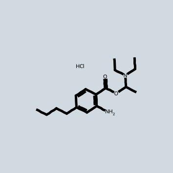 CCCCc1ccc(C(=O)OC(C)N(CC)CC)c(N)c1.Cl